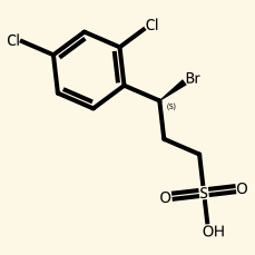 O=S(=O)(O)CC[C@H](Br)c1ccc(Cl)cc1Cl